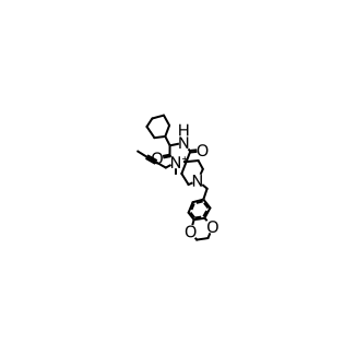 CC#CC[N+]1(C)C(=O)C(C2CCCCC2)NC(=O)C12CCN(Cc1ccc3c(c1)OCCO3)CC2